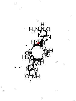 Nc1nc2c(ncn2[C@@H]2S[C@@H]3COP(=O)(S)O[C@@H]4[C@@H](COP(=O)(S)O[C@@H]2[C@@H]3O)OC[C@@]4(F)n2cnc3c(=O)[nH]cnc32)c(=O)[nH]1